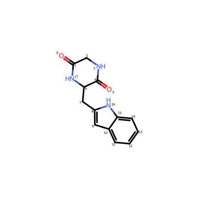 O=C1CNC(=O)C(Cc2cc3ccccc3[nH]2)N1